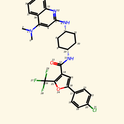 CN(C)c1cc(N[C@H]2CC[C@@H](NC(=O)c3cc(-c4ccc(Cl)cc4)oc3C(F)(F)F)CC2)nc2ccccc12